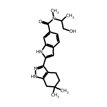 CC(CO)N(C)C(=O)c1ccc2cc(-c3n[nH]c4c3CCC(C)(C)C4)[nH]c2c1